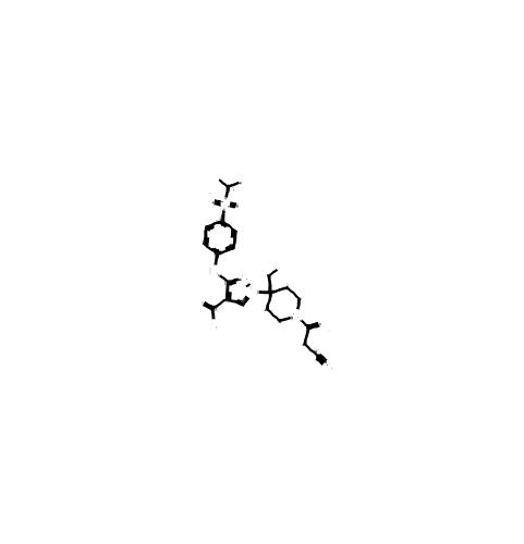 CCC1(n2cc(C(N)=O)c(Nc3ccc(S(=O)(=O)C(F)F)cc3)n2)CCN(C(=O)CC#N)CC1